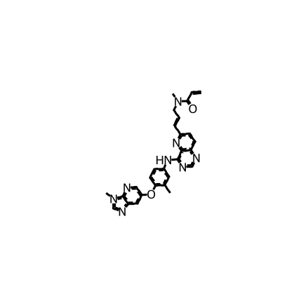 C=CC(=O)N(C)CC=Cc1ccc2ncnc(Nc3ccc(Oc4cnc5c(c4)ncn5C)c(C)c3)c2n1